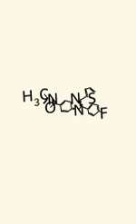 Cc1coc(-c2ccc3nc(-c4ccc(F)cc4)c(-c4cccs4)nc3c2)n1